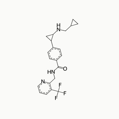 O=C(NCc1ncccc1C(F)(F)F)c1ccc(C2CC2NCC2CC2)cc1